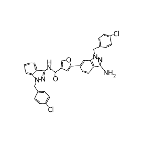 Nc1nn(Cc2ccc(Cl)cc2)c2cc(-c3cc(C(=O)Nc4nn(Cc5ccc(Cl)cc5)c5ccccc45)co3)ccc12